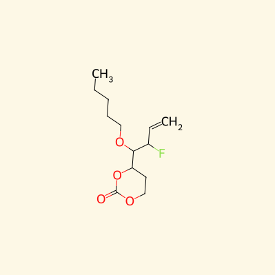 C=CC(F)C(OCCCCC)C1CCOC(=O)O1